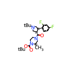 C[C@@H]1CN(C(=O)[C@@H]2CN(C(C)(C)C)C[C@H]2c2ccc(F)cc2F)CCN1C(=O)OC(C)(C)C